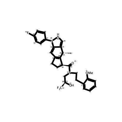 COc1ccccc1CCN(C[C@@H](O)C(F)(F)F)C(=O)[C@H]1CCC2=C1[C@@H](C)C1=CNN(c3ccc(F)cc3)C1=C2